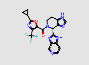 O=C(c1oc(C2CC2)nc1C(F)(F)F)N1CCc2[nH]cnc2[C@H]1c1nc2cnccc2[nH]1